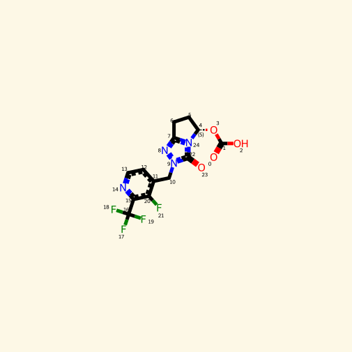 O=C(O)O[C@H]1CCc2nn(Cc3ccnc(C(F)(F)F)c3F)c(=O)n21